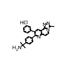 Cc1nnc2c3cc(-c4ccccc4)c(-c4ccc(C(C)(C)N)cc4)nc3ccn12.Cl